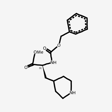 COC(=O)[C@H](CC1CCNCC1)NC(=O)OCc1ccccc1